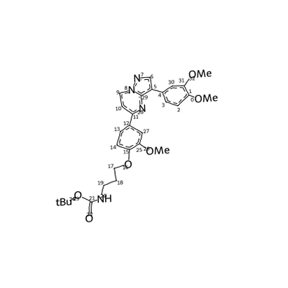 COc1ccc(-c2cnn3ccc(-c4ccc(OCCCNC(=O)OC(C)(C)C)c(OC)c4)nc23)cc1OC